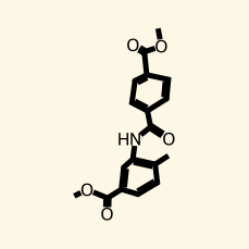 COC(=O)c1ccc(C(=O)Nc2cc(C(=O)OC)ccc2C)cc1